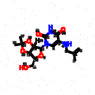 C=C(C)CNc1cn([C@@H]2O[C@H](CO)C3OC(C)(C)O[C@@H]32)c(=O)[nH]c1=O